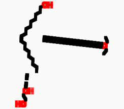 C=C.C=C.C=C.C=C.C=C.C=C.C=C.C=C.C=C.C=C.C=C.C=C.C=C.C=C.C=C.C=C.C=C.C=C.C=C.C=C.CCCCCCCC/C=C\CCCCCCCCO.CCOCC.OCCO